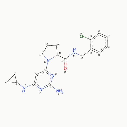 Nc1nc(NC2CC2)cc(N2CCCC2C(=O)NCc2ccccc2Cl)n1